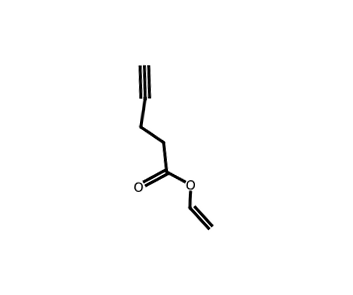 C#CCCC(=O)OC=C